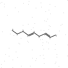 [CH2]/C=C/C/C=C/CC[CH2]